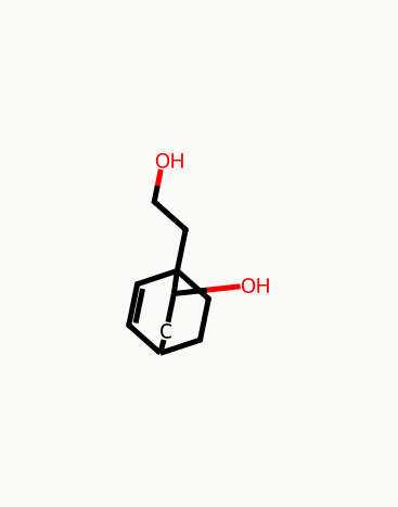 OCCC12C=CC(CC1)CC2O